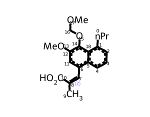 CCCc1cccc2c(/C=C(/C)C(=O)O)cc(OC)c(OCOC)c12